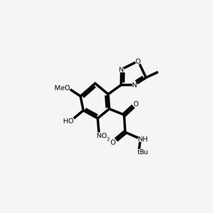 COc1cc(-c2noc(C)n2)c(C(=O)C(=O)NC(C)(C)C)c([N+](=O)[O-])c1O